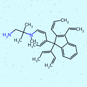 C=CC1=C(/C=C\C)C(/C(C=C)=C/C)(C(/C=C\N(C)C(C)(C)CN)=C/C)c2ccccc21